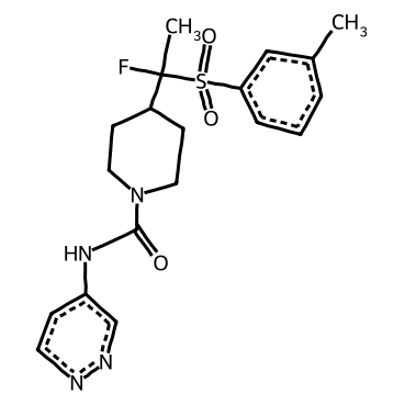 Cc1cccc(S(=O)(=O)C(C)(F)C2CCN(C(=O)Nc3ccnnc3)CC2)c1